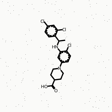 CC(Nc1cc(N2CCC(C(=O)O)CC2)ccc1Cl)c1ccc(Cl)cc1Cl